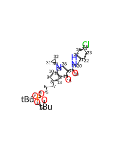 CC(C)(C)OP(=O)(OCCCc1ccc2c(c1)c(=O)c(C(=O)NCc1ccc(Cl)cc1)cn2C1CC1)OC(C)(C)C